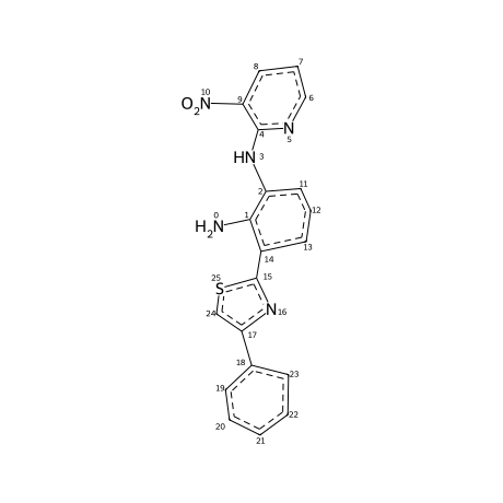 Nc1c(Nc2ncccc2[N+](=O)[O-])cccc1-c1nc(-c2ccccc2)cs1